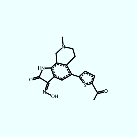 CC(=O)c1ccc(-c2cc3c(c4c2CCN(C)C4)NC(=O)/C3=N/O)s1